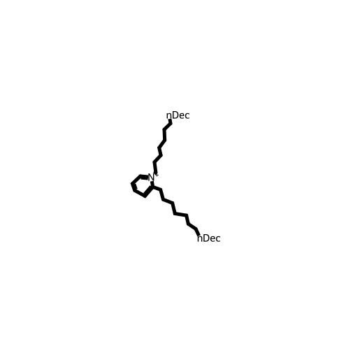 CCCCCCCCCCCCCCCCCc1cccc[n+]1CCCCCCCCCCCCCCCCC